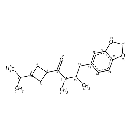 CC(C)N1CC(C(=O)N(C)C(C)Cc2ccc3c(c2)OCO3)C1